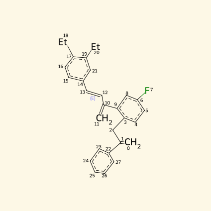 C=C(Cc1ccc(F)cc1C(=C)/C=C/c1ccc(CC)c(CC)c1)c1ccccc1